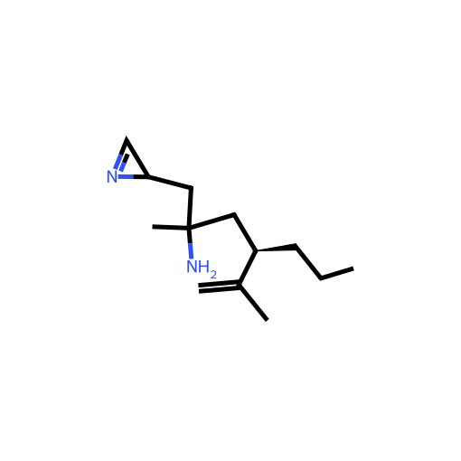 C=C(C)[C@H](CCC)CC(C)(N)CC1C=N1